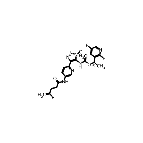 C=C(F)CCC(=O)Nc1ccc(-c2nnn(C)c2NC(=O)O[C@H](C)c2cc(F)cnc2F)nc1